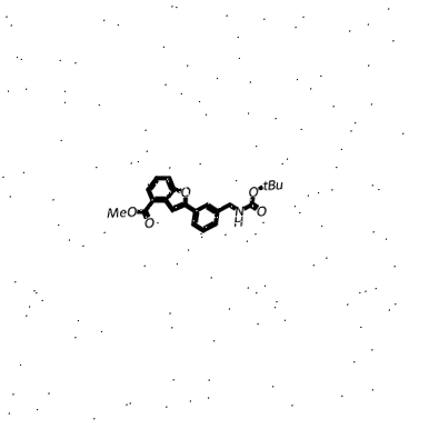 COC(=O)c1cccc2oc(-c3cccc(CNC(=O)OC(C)(C)C)c3)cc12